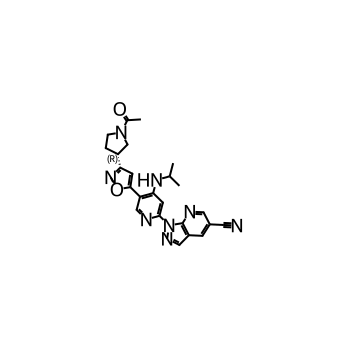 CC(=O)N1CC[C@@H](c2cc(-c3cnc(-n4ncc5cc(C#N)cnc54)cc3NC(C)C)on2)C1